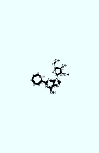 OC[C@H]1O[C@@H](n2cnc3c(O)nc(C4=CC=CC=CN4)nc32)[C@H](O)[C@@H]1O